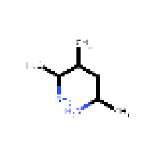 CC(N)CC(C)C(C)N